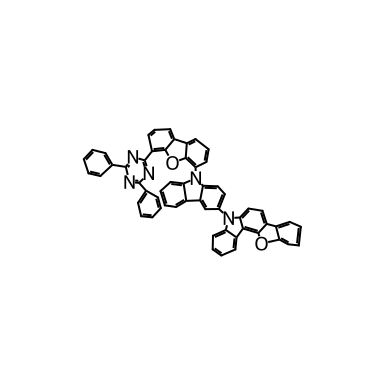 c1ccc(-c2nc(-c3ccccc3)nc(-c3cccc4c3oc3c(-n5c6ccccc6c6cc(-n7c8ccccc8c8c9oc%10ccccc%10c9ccc87)ccc65)cccc34)n2)cc1